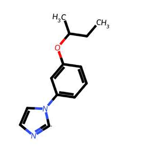 CCC(C)Oc1cccc(-n2[c]ncc2)c1